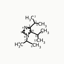 CC(C)c1ncn(C(C)C)c1C(C)C